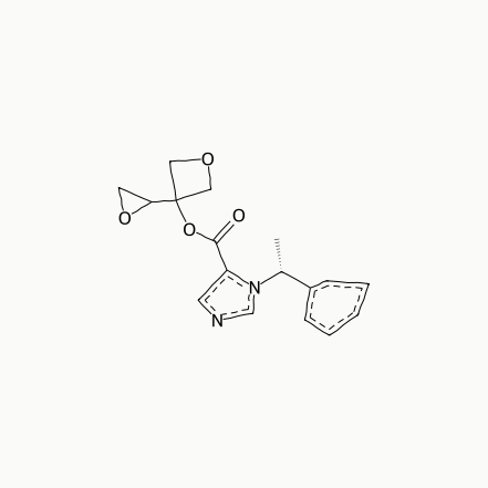 C[C@H](c1ccccc1)n1cncc1C(=O)OC1(C2CO2)COC1